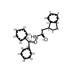 O=C(CC1CCc2ccccc21)NOC(c1ccccc1)c1ccccc1